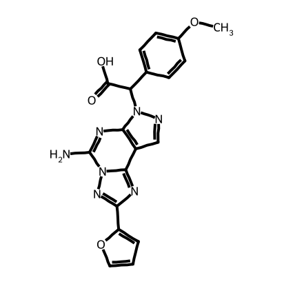 COc1ccc(C(C(=O)O)n2ncc3c2nc(N)n2nc(-c4ccco4)nc32)cc1